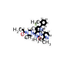 C=CC(=O)N1CC(C)N(c2nc(=O)n(-c3c(C)ccnc3C(C)C)c3nc(-c4ccccc4C)c(F)cc23)CC1C